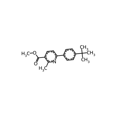 COC(=O)c1ccc(-c2ccc(C(C)(C)C)cc2)nc1C